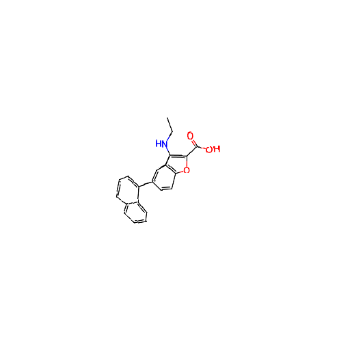 CCNc1c(C(=O)O)oc2ccc(-c3cccc4ccccc34)cc12